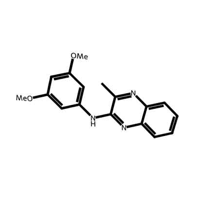 COc1cc(Nc2nc3ccccc3nc2C)cc(OC)c1